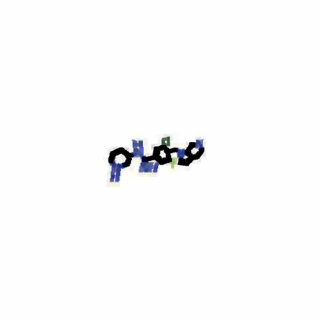 N=C(NC1CCCNC1)c1cc(F)c(Cn2ccc3ccncc32)c(Cl)c1